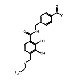 COOCc1ccc(C(=O)NCc2ccc([N+](=O)[O-])cc2)c(O)c1O